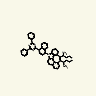 CCCC(N)C1=C(C(N)CCC)c2cccc3c2c2c4c1cccc4ccc2n3-c1ccc(-c2nc(-c3ccccc3)nc(-c3ccccc3)n2)c2ccccc12